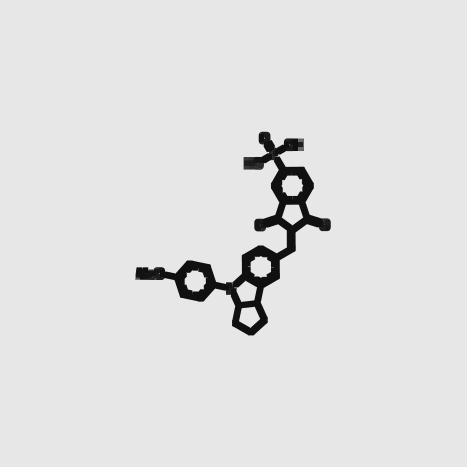 COc1ccc(N2c3ccc(/C=C4/C(=O)c5ccc(P(=O)(O)O)cc5C4=O)cc3C3CCCC32)cc1